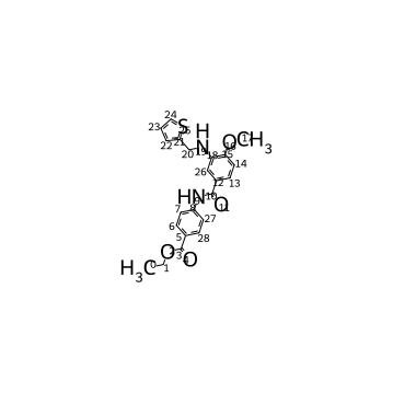 CCOC(=O)c1ccc(NC(=O)c2ccc(OC)c(NCc3cccs3)c2)cc1